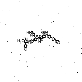 CC1(C)CCC(CN2CCN(c3ccc(C(=O)NS(=O)(=O)c4ccc(NC5CCC(N6CCN(C7CCOCC7)CC6)CC5)c([N+](=O)[O-])c4)c(Oc4cnc5[nH]ccc5c4)c3)CC2)=C(c2ccc(Cl)cc2)C1